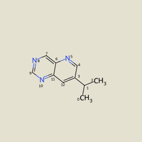 CC(C)c1cnc2cncnc2c1